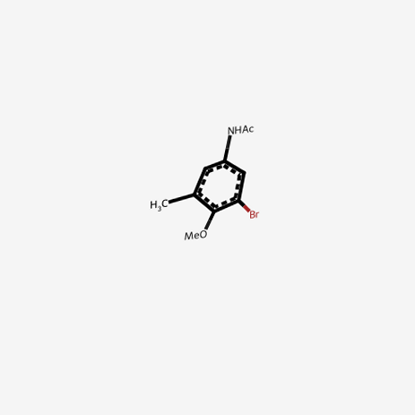 COc1c(C)cc(NC(C)=O)cc1Br